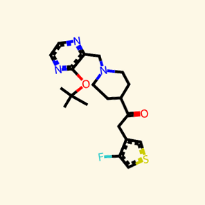 CC(C)(C)Oc1nccnc1CN1CCC(C(=O)Cc2cscc2F)CC1